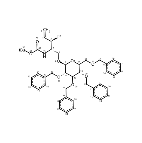 C=C[C@@H](F)[C@H](CO[C@H]1OC(COCc2ccccc2)[C@H](OCc2ccccc2)C(OCc2ccccc2)[C@@H]1OCc1ccccc1)NC(=O)OC(C)(C)C